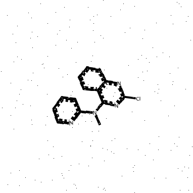 CN(c1ccccn1)c1nc(Cl)nc2ccccc12